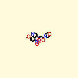 COc1ccc([N+](=O)[O-])c2c(/C=C/C(=O)N3CCOCC3)ccnc12